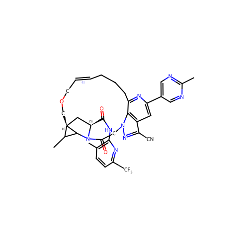 Cc1ncc(-c2cc3c(C#N)nn4c3c(n2)CCC/C=C/COC[C@@]23C[C@@H](C(=O)Nc5nc(C(F)(F)F)ccc5C)N(C(=O)C4)C2C3C)cn1